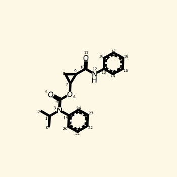 CC(C)N(C(=O)OC1CC1C(=O)Nc1ccccc1)c1ccccc1